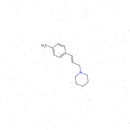 Cc1ccc(C=CCN2CCCCC2)cc1